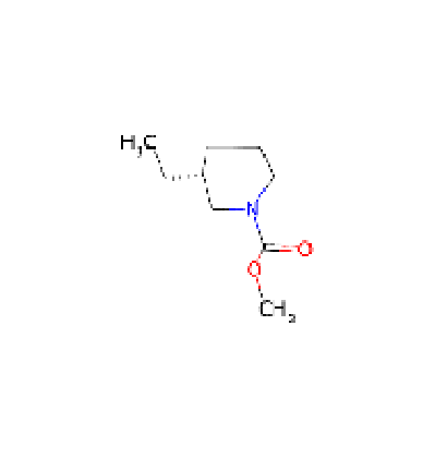 CC[C@@H]1CCCN(C(=O)OC)C1